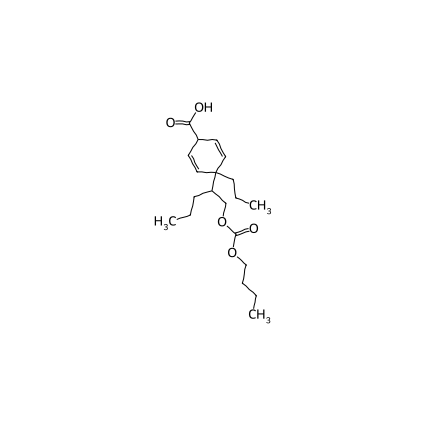 CCCCOC(=O)OCC(CCC)C1(CCC)C=CC(C(=O)O)C=C1